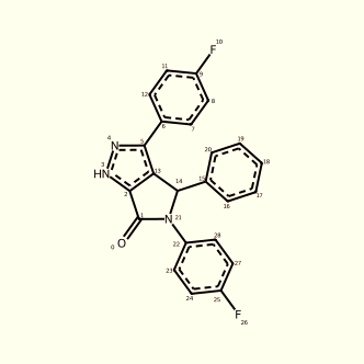 O=C1c2[nH]nc(-c3ccc(F)cc3)c2C(c2ccccc2)N1c1ccc(F)cc1